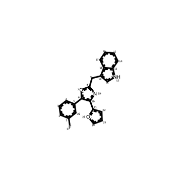 Fc1cccc(-c2oc(Cc3c[nH]c4ccccc34)nc2-c2ccco2)c1